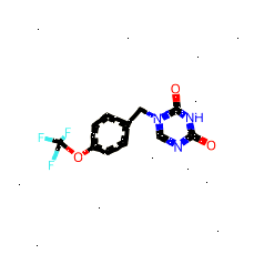 O=c1ncn(Cc2ccc(OC(F)(F)F)cc2)c(=O)[nH]1